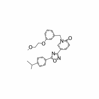 COCCOc1cccc(Cn2cc(-c3noc(-c4ccc(C(C)C)cc4)n3)ccc2=O)c1